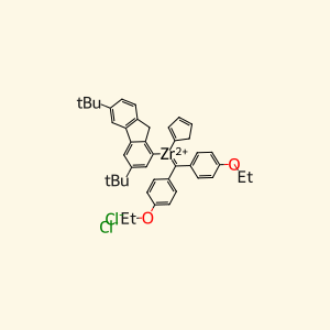 CCOc1ccc([C](c2ccc(OCC)cc2)=[Zr+2]([C]2=CC=CC2)[c]2cc(C(C)(C)C)cc3c2Cc2ccc(C(C)(C)C)cc2-3)cc1.[Cl-].[Cl-]